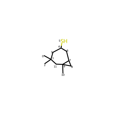 CC1(C)CC(S)CC2CC2(C)C1